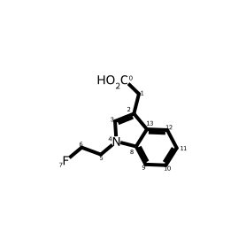 O=C(O)Cc1cn(CCF)c2ccccc12